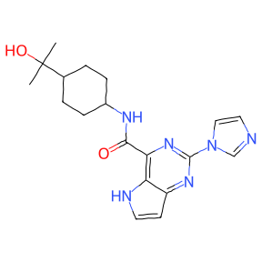 CC(C)(O)C1CCC(NC(=O)c2nc(-n3ccnc3)nc3cc[nH]c23)CC1